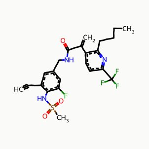 C#Cc1cc(CNC(=O)C(=C)c2ccc(C(F)(F)F)nc2CCCC)cc(F)c1NS(C)(=O)=O